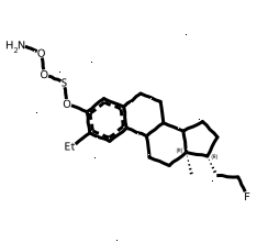 CCc1cc2c(cc1OSOON)CCC1C2CC[C@@]2(C)C1CC[C@@H]2CCF